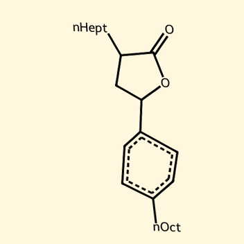 CCCCCCCCc1ccc(C2CC(CCCCCCC)C(=O)O2)cc1